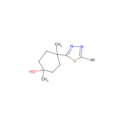 CC(C)c1nnc(C2(C)CCC(C)(O)CC2)s1